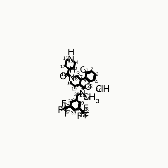 Cc1ccccc1C1CN(C(=O)C2CCNCC2)CCC1C(=O)N(C)Cc1cc(C(F)(F)F)cc(C(F)(F)F)c1.Cl